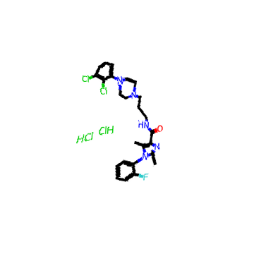 Cc1nc(C(=O)NCCCN2CCN(c3cccc(Cl)c3Cl)CC2)c(C)n1-c1ccccc1F.Cl.Cl